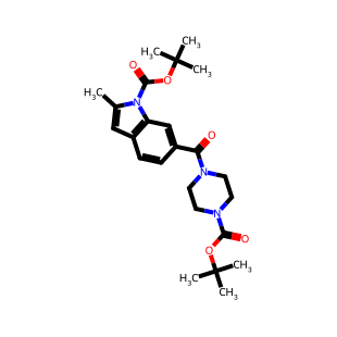 Cc1cc2ccc(C(=O)N3CCN(C(=O)OC(C)(C)C)CC3)cc2n1C(=O)OC(C)(C)C